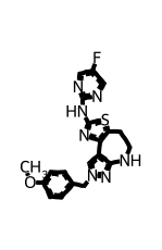 COc1ccc(Cn2cc3c(n2)NCCc2sc(Nc4ncc(F)cn4)nc2-3)cc1